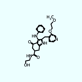 COCCOc1cnccc1Cc1[nH]c2c(c1Nc1ccccc1)C(=O)CC(C(=O)NCCO)C2